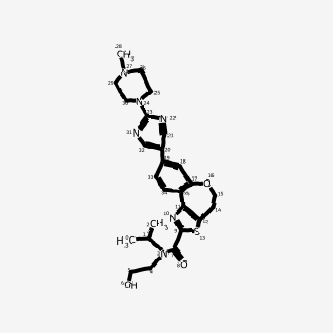 CC(C)N(CCO)C(=O)c1nc2c(s1)CCOc1cc(-c3cnc(N4CCN(C)CC4)nc3)ccc1-2